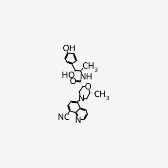 C[C@@H]1CN(c2ccc(C#N)c3ncccc23)C[C@H](C(=O)N[C@H](C)[C@@H](O)c2ccc(O)cc2)O1